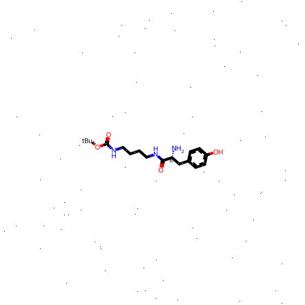 CC(C)(C)OC(=O)NCCCCNC(=O)[C@H](N)Cc1ccc(O)cc1